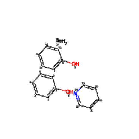 Oc1ccccc1.Oc1ccccc1.[BeH2].c1ccncc1